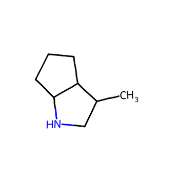 CC1CNC2CCCC12